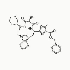 Cc1oc([C@@H](Cc2cn(C)c3ccccc23)NC(=O)[C@@H](C(=O)ON(C)C2CCCCC2)C(C)C)nc1C(=O)OCc1ccccc1